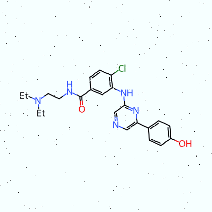 CCN(CC)CCNC(=O)c1ccc(Cl)c(Nc2cncc(-c3ccc(O)cc3)n2)c1